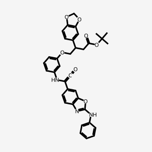 CC(C)(C)OC(=O)CC(COc1cccc(NC(=C=O)c2ccc3nc(Nc4ccccc4)oc3c2)c1)c1ccc2c(c1)OCO2